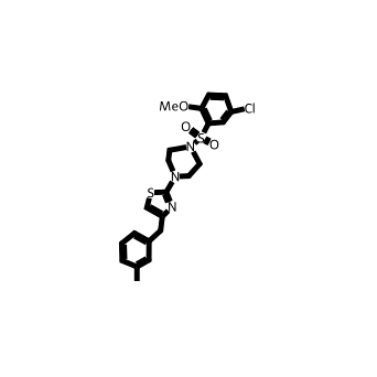 COc1ccc(Cl)cc1S(=O)(=O)N1CCN(c2nc(Cc3cccc(C)c3)cs2)CC1